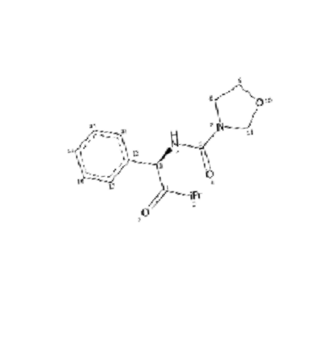 CC(C)C(=O)[C@H](NC(=O)N1CCOC1)c1ccccc1